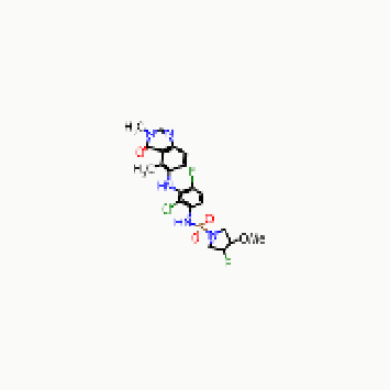 COC1CN(S(=O)(=O)Nc2ccc(F)c(Nc3ccc4ncn(C)c(=O)c4c3C)c2Cl)CC1F